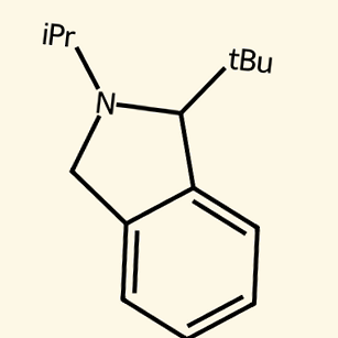 CC(C)N1Cc2ccccc2C1C(C)(C)C